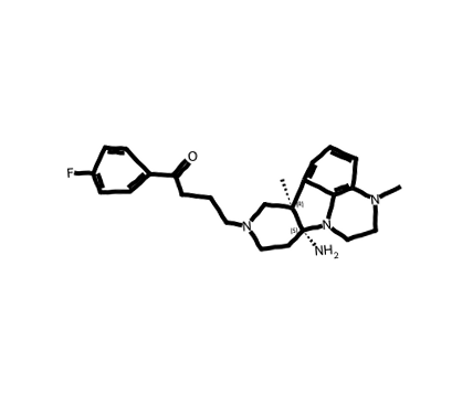 CN1CCN2c3c1cccc3[C@]1(C)CN(CCCC(=O)c3ccc(F)cc3)CC[C@]21N